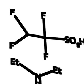 CCNCC.O=S(=O)(O)C(F)(F)C(F)F